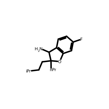 CCCC1(CCC(C)C)Oc2cc(F)ccc2C1N